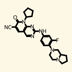 N#Cc1cc2cnc(Nc3ccc(N4CCN5CCCC5C4)c(F)c3)nc2n(C2CCCC2)c1=O